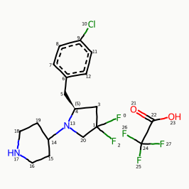 FC1(F)C[C@H](Cc2ccc(Cl)cc2)N(C2CCNCC2)C1.O=C(O)C(F)(F)F